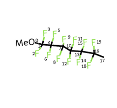 [CH2]OC(F)(F)C(F)(F)C(F)(F)C(F)(F)C(F)(F)C(C)(F)F